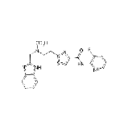 O=C(Nc1ncccc1F)c1csc(CCN(Cc2nc3ccccc3[nH]2)C(=O)O)n1